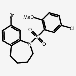 COc1ccc(Cl)cc1S(=O)(=O)N1CCCCc2ccc(Br)cc21